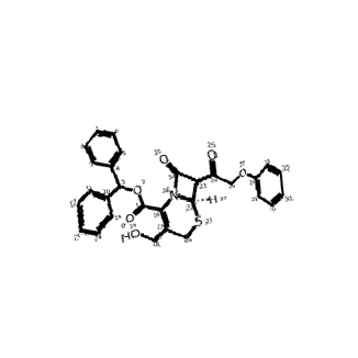 O=C(OC(c1ccccc1)c1ccccc1)C1=C(CO)CS[C@@H]2C(C(=O)COc3ccccc3)C(=O)N12